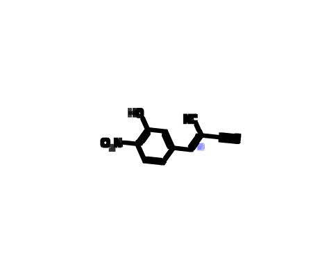 C#C/C(C#N)=C/c1ccc([N+](=O)[O-])c(O)c1